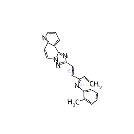 C=CC(/C=C/c1nc2c3cccnc3ccn2n1)=N\c1ccccc1C